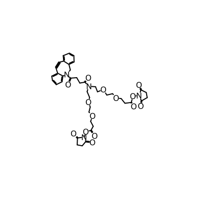 O=C(CCOCCOCCN(CCOCCOCCC(=O)ON1C(=O)CCC1=O)C(=O)CCC(=O)N1Cc2ccccc2C#Cc2ccccc21)ON1C(=O)CCC1=O